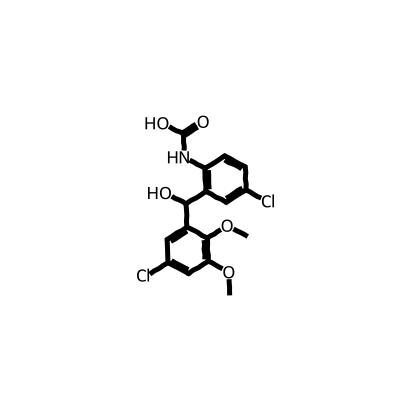 COc1cc(Cl)cc(C(O)c2cc(Cl)ccc2NC(=O)O)c1OC